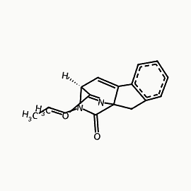 CCCN1C(=O)C23Cc4ccccc4C2=C[C@H]1C(OC)=N3